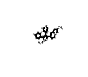 CC1CC2C=C(c3nn(C)c(-c4ccc(F)cc4)c3-c3ccncc3)CCN2C1